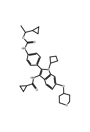 CC(OC(=O)Nc1ccc(-c2c(NC(=O)C3CC3)c3ccc(OC4CCOCC4)cc3n2C2CCC2)cc1)C1CC1